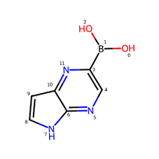 OB(O)c1cnc2[nH]ccc2n1